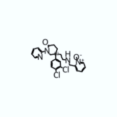 O=C1CC[C@](CCNCc2cccc[n+]2[O-])(c2ccc(Cl)c(Cl)c2)CN1c1ccccn1